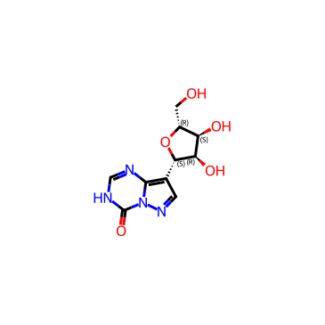 O=c1[nH]cnc2c([C@@H]3O[C@H](CO)[C@@H](O)[C@H]3O)cnn12